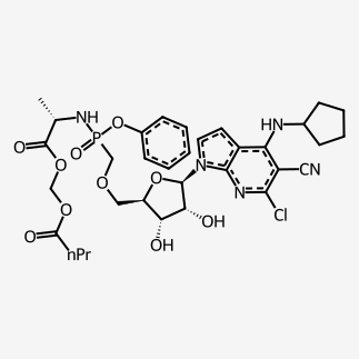 CCCC(=O)OCOC(=O)[C@H](C)NP(=O)(COC[C@H]1O[C@@H](n2ccc3c(NC4CCCC4)c(C#N)c(Cl)nc32)[C@H](O)[C@@H]1O)Oc1ccccc1